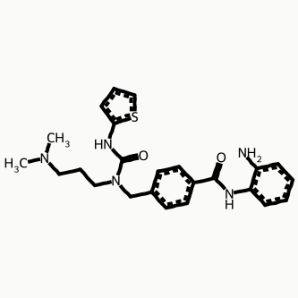 CN(C)CCCN(Cc1ccc(C(=O)Nc2ccccc2N)cc1)C(=O)Nc1cccs1